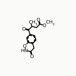 COC(=O)CC(C)C(=O)c1ccc2c(c1)ONC(=O)C2